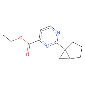 CCOC(=O)c1ccnc(C23CCCC2C3)n1